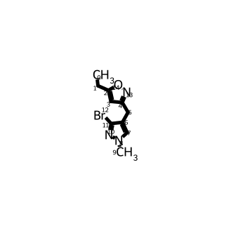 CCc1cc(Cc2cn(C)nc2Br)no1